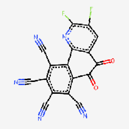 N#Cc1c(C#N)c(C#N)c2c(c1C#N)C(=O)C(=O)c1cc(F)c(F)nc1-2